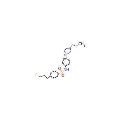 CCCN1CC[C@@H](c2ccc(NS(=O)(=O)c3ccc(CCCF)cc3)cc2)C1